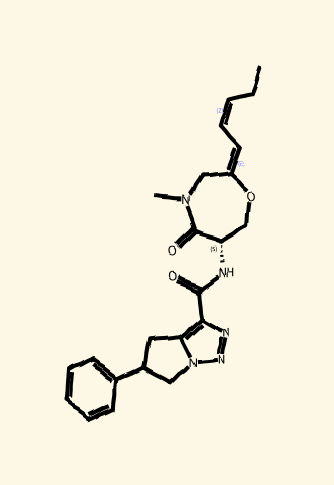 CC/C=C\C=C1/CN(C)C(=O)[C@@H](NC(=O)c2nnn3c2CC(c2ccccc2)C3)CO1